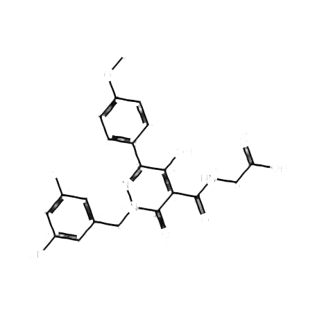 COc1ccc(-c2nn(Cc3cc(F)cc(F)c3)c(=O)c(C(=O)NCC(=O)O)c2O)cc1